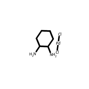 NC1CCCCC1N.[Cl][Pd][Cl]